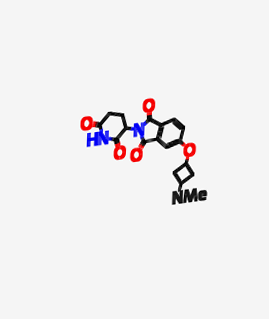 CNC1CC(Oc2ccc3c(c2)C(=O)N(C2CCC(=O)NC2=O)C3=O)C1